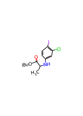 CC(C)COC(=O)C(C)Nc1ccc(I)c(Cl)c1